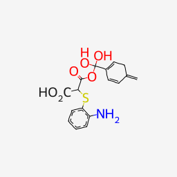 C=C1C=CC(C(O)(O)OC(=O)C(Sc2ccccc2N)C(=O)O)=CC1